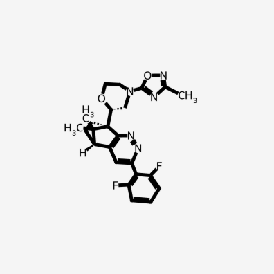 Cc1noc(N2CCO[C@@H]([C@@]34CC[C@@H](c5cc(-c6c(F)cccc6F)nnc53)C4(C)C)C2)n1